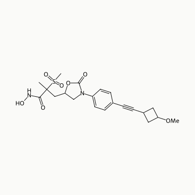 COC1CC(C#Cc2ccc(N3CC(CC(C)(C(=O)NO)S(C)(=O)=O)OC3=O)cc2)C1